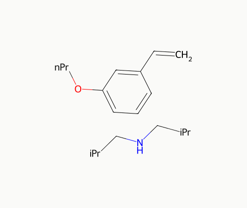 C=Cc1cccc(OCCC)c1.CC(C)CNCC(C)C